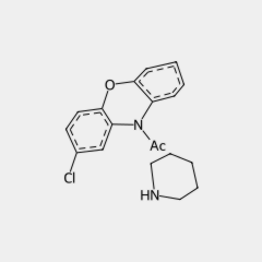 C1CCNCC1.CC(=O)N1c2ccccc2Oc2ccc(Cl)cc21